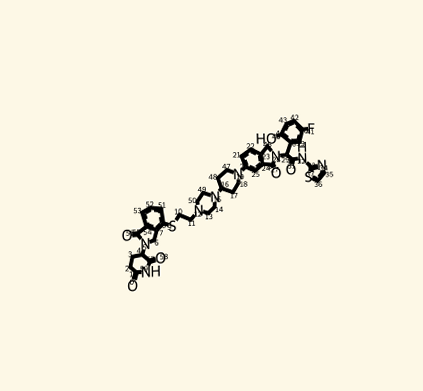 O=C1CCC(N2Cc3c(SCCN4CCN(C5CCN(c6ccc7c(c6)C(=O)N(C(C(=O)Nc6nccs6)c6cc(F)ccc6O)C7)CC5)CC4)cccc3C2=O)C(=O)N1